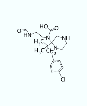 CC(C)(C)C1(N(CCNC=O)C(=O)O)CNCCN1Cc1ccc(Cl)cc1